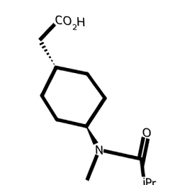 CC(C)C(=O)N(C)[C@H]1CC[C@H](CC(=O)O)CC1